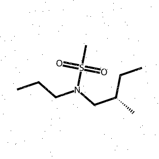 CCCN(C[C@@H](C)CC)S(C)(=O)=O